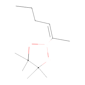 CCC/C=C(/C)B1OC(C)(C)C(C)(C)O1